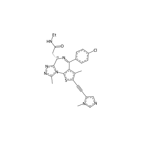 CCNC(=O)C[C@@H]1N=C(c2ccc(Cl)cc2)c2c(sc(C#Cc3cncn3C)c2C)-n2c(C)nnc21